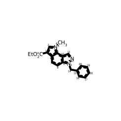 CCOC(=O)c1cn(C)c2c1ccc1c2cnn1Cc1ccccc1